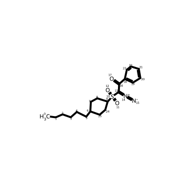 CCCCCCC1CCC(S(=O)(=O)C(=[N+]=[N-])C(=O)c2ccccc2)CC1